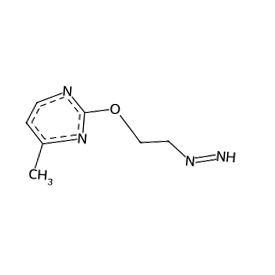 Cc1ccnc(OCCN=N)n1